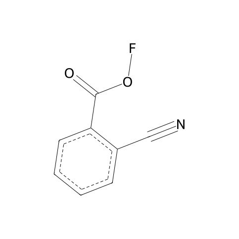 N#Cc1ccccc1C(=O)OF